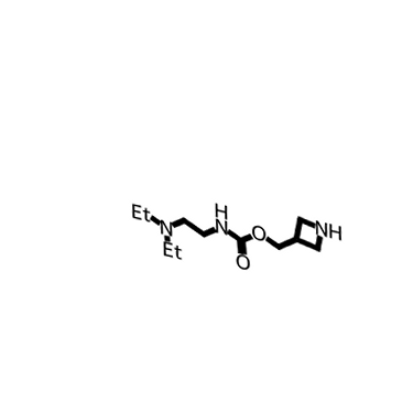 CCN(CC)CCNC(=O)OCC1CNC1